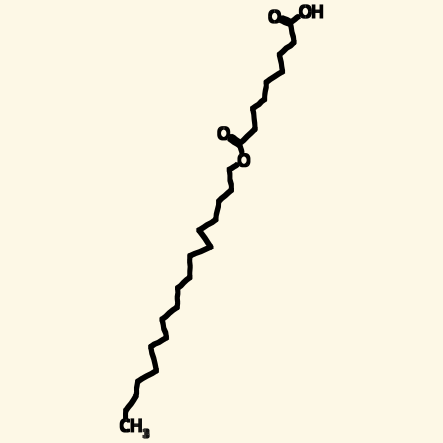 CCCCCCCCCCCCCCCCCCOC(=O)CCCCCCCC(=O)O